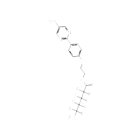 CCCCCCCCc1cnc(-c2ccc(OCCOC(F)C(F)(F)C(F)(F)C(F)(F)C(F)(F)C(F)(F)F)cc2)nc1